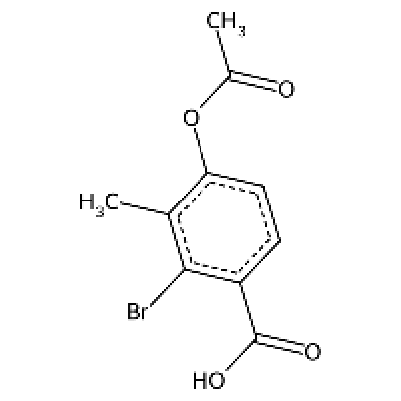 CC(=O)Oc1ccc(C(=O)O)c(Br)c1C